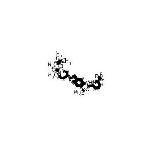 COc1cc2nn(C3CC[N+](C)(C(=O)OC(C)(C)C)CC3)cc2cc1NC(=O)c1cccc(C(F)(F)F)n1